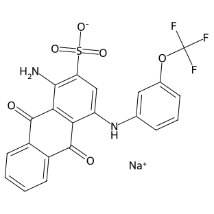 Nc1c(S(=O)(=O)[O-])cc(Nc2cccc(OC(F)(F)F)c2)c2c1C(=O)c1ccccc1C2=O.[Na+]